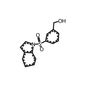 O=S(=O)(c1cccc(CO)c1)n1ccc2ccccc21